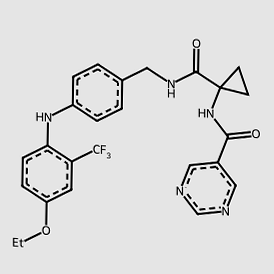 CCOc1ccc(Nc2ccc(CNC(=O)C3(NC(=O)c4cncnc4)CC3)cc2)c(C(F)(F)F)c1